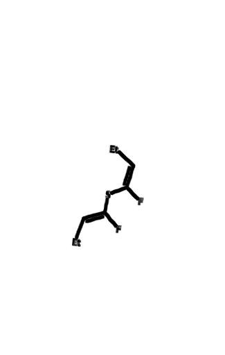 CCC=C(F)SC(F)=CCC